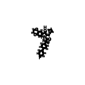 O=C(NC(CN1CCC1)C(O)c1ccc2c(c1)OCCO2)C(F)(F)c1ccc(-c2ccc(F)cc2)cc1